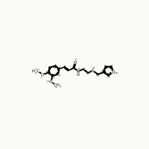 COc1ccc(/C=C/C(=O)NCCSCc2ccoc2)cc1OC